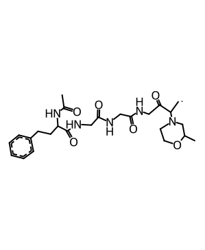 [CH2]C(C(=O)CNC(=O)CNC(=O)CNC(=O)C(CCc1ccccc1)NC(C)=O)N1CCOC(C)C1